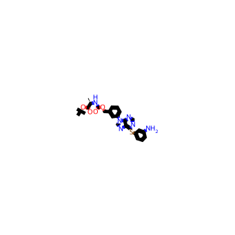 C[C@H](NC(=O)OCc1cccc(-n2cnc3c(Sc4cccc(N)c4)ncnc32)c1)C(=O)OC(C)(C)C